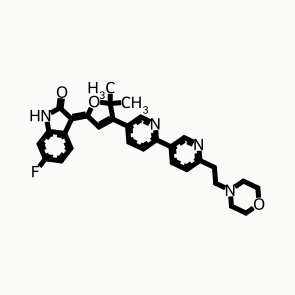 CC1(C)OC(=C2C(=O)Nc3cc(F)ccc32)C=C1c1ccc(-c2ccc(CCN3CCOCC3)nc2)nc1